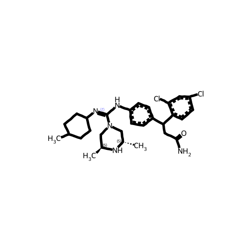 CC1CCC(/N=C(/Nc2ccc(C(CC(N)=O)c3ccc(Cl)cc3Cl)cc2)N2C[C@H](C)N[C@@H](C)C2)CC1